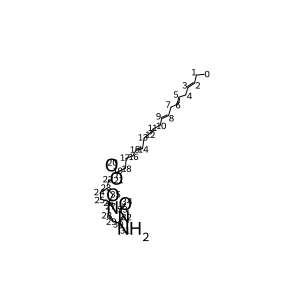 CCC=CCC=CCC=CCC=CCC=CCCCC(=O)OC[C@@H]1CC[C@@H](n2ccc(N)nc2=O)O1